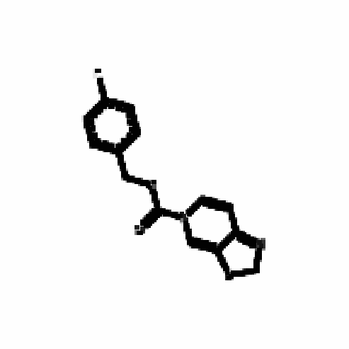 O=C(OCc1ccc(F)cc1)N1C=CC2=NCSC2=C1